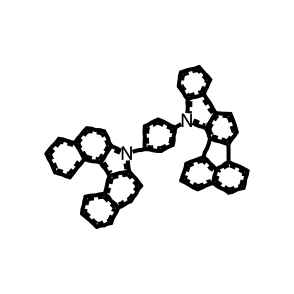 c1cc2c3c(cccc3c1)-c1c-2ccc2c3ccccc3n(-c3ccc(-n4c5ccc6ccccc6c5c5c6ccccc6ccc54)cc3)c12